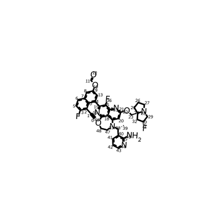 C#Cc1c(F)ccc2cc(OC=O)cc(-c3nc4c5c(cc(OC[C@@]67CCCN6C[C@H](F)C7)nc5c3F)N([C@H](C)c3cccnc3N)CCO4)c12